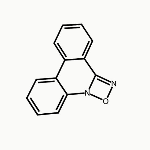 c1ccc2c(c1)c1ccccc1n1onc21